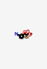 COC(=O)C(Br)C(=O)c1cccc(C#N)c1